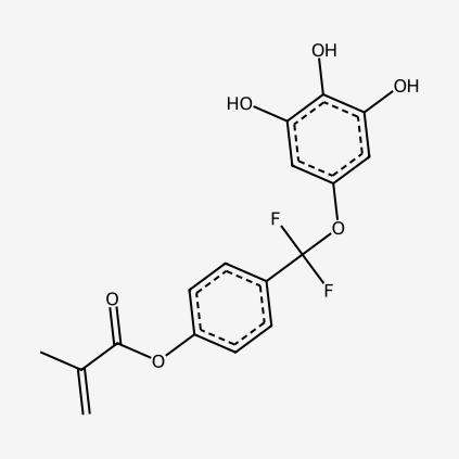 C=C(C)C(=O)Oc1ccc(C(F)(F)Oc2cc(O)c(O)c(O)c2)cc1